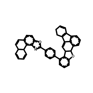 C1=CC2C=Cc3ccc4oc(-c5ccc(-c6cccc7c6C6C=C8C9=C(C=CCC9)c9cccc(c98)C6O7)cc5)nc4c3C2C=C1